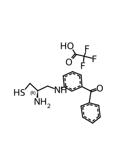 N[C@@H](CS)CNc1cccc(C(=O)c2ccccc2)c1.O=C(O)C(F)(F)F